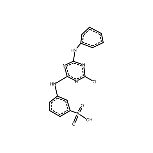 O=S(=O)(O)c1cccc(Nc2nc(Cl)nc(Nc3ccccc3)n2)c1